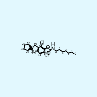 CCCCCCCNC(=O)Oc1c(Cl)cc2c(c1Cl)CN1C(=N2)C2CCC1C2